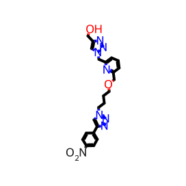 O=[N+]([O-])c1ccc(-c2cn(CCCCOCc3cccc(Cn4cc(CO)nn4)n3)nn2)cc1